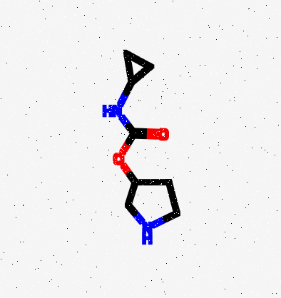 O=C(NC1CC1)OC1CCNC1